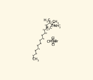 CCCCCCCCCCCCCCC(C)C(C)(C)[NH3+].[Cl][Fe-]([Cl])([Cl])[Br]